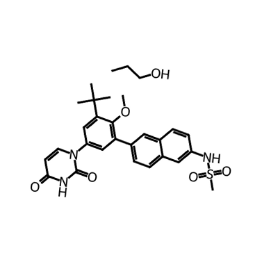 CCCO.COc1c(-c2ccc3cc(NS(C)(=O)=O)ccc3c2)cc(-n2ccc(=O)[nH]c2=O)cc1C(C)(C)C